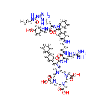 CCNC(=O)/N=C(/N)NCCC[C@@H](NC(=O)[C@H](c1ccccc1)c1ccc(NCCCNC(=O)[C@@H](CCCNC(=N)N)NC(=O)/C(Cc2ccc(-c3ccccc3)cc2)=N/CN2CCN(CC(=O)O)CCN(CC(=O)O)CCN(CC(=O)O)CC2)cc1)C(=O)NCc1ccc(O)cc1